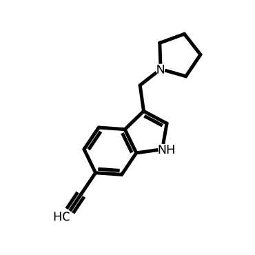 C#Cc1ccc2c(CN3CCCC3)c[nH]c2c1